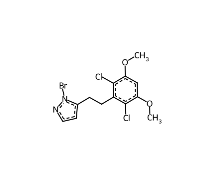 COc1cc(OC)c(Cl)c(CCc2ccnn2Br)c1Cl